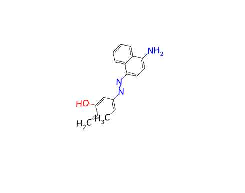 C=C\C(O)=C/C(=C\C)/N=N/c1ccc(N)c2ccccc12